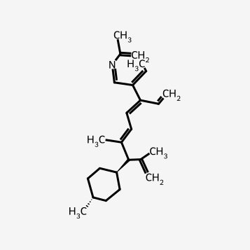 C=CC(=C\C=C(/C)C(C(=C)C)[C@H]1CC[C@H](C)CC1)/C(/C=N\C(=C)C)=C/C